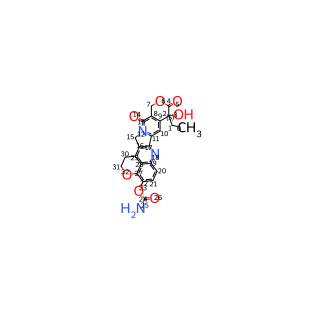 CC[C@@]1(O)C(=O)OCc2c1cc1n(c2=O)Cc2c-1nc1ccc(OC(N)=O)c3c1c2CCO3